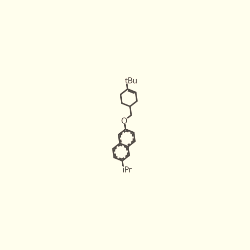 CC(C)c1ccc2cc(OCC3CC=C(C(C)(C)C)CC3)ccc2c1